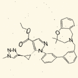 CCOC(=O)c1cnn(-c2cccc(-c3cccc(CN4Cc5ccccc5OC(C)(C)C4)c3)c2)c1[C@@H]1C[C@H]1c1cn(C)nn1